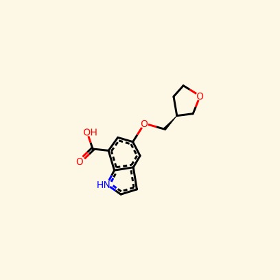 O=C(O)c1cc(OC[C@H]2CCOC2)cc2cc[nH]c12